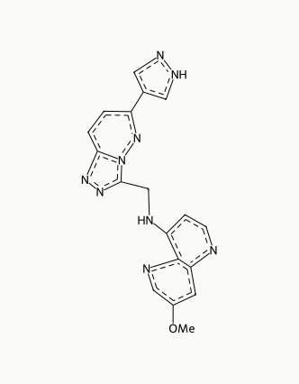 COc1cnc2c(NCc3nnc4ccc(-c5cn[nH]c5)nn34)ccnc2c1